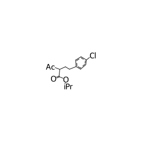 CC(=O)C(CCc1ccc(Cl)cc1)C(=O)OC(C)C